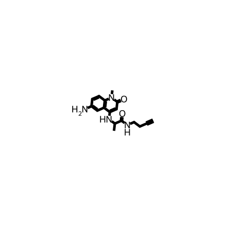 C#CCCNC(=O)C(C)Nc1cc(=O)n(C)c2ccc(N)cc12